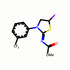 COC(=O)N=C1SC(I)CN1c1cccc(C(F)(F)F)c1